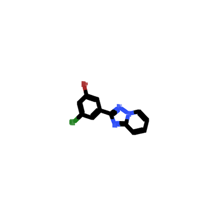 Clc1cc(Br)cc(-c2nc3ccccn3n2)c1